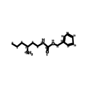 CCC[C@H](N)CCNC(=O)OCc1ccccc1